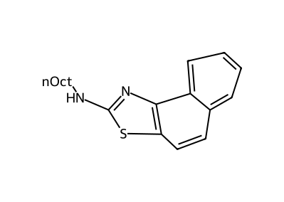 CCCCCCCCNc1nc2c(ccc3ccccc32)s1